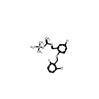 C=C(/N=C/c1cc(Cl)ccc1OCc1c(F)cccc1Cl)O[Si](C)(C)C